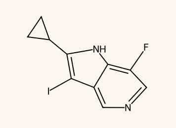 Fc1cncc2c(I)c(C3CC3)[nH]c12